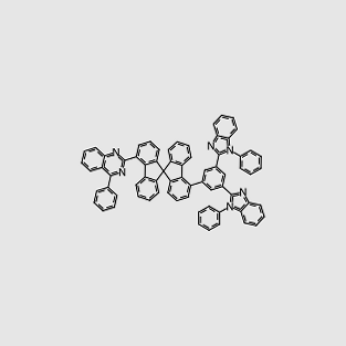 c1ccc(-c2nc(-c3cccc4c3-c3ccccc3C43c4ccccc4-c4c(-c5cc(-c6nc7ccccc7n6-c6ccccc6)cc(-c6nc7ccccc7n6-c6ccccc6)c5)cccc43)nc3ccccc23)cc1